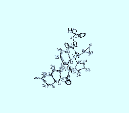 O=C(O)COC(=O)N(C1CC1)C1c2ccccc2N(C(=O)c2ccc3ccccc3c2)C2CCCC21